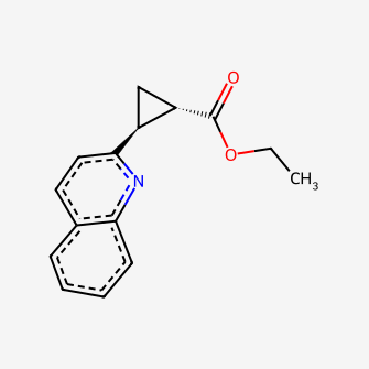 CCOC(=O)[C@H]1C[C@@H]1c1ccc2ccccc2n1